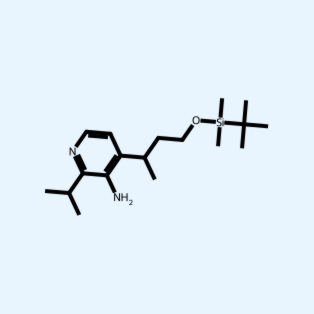 CC(C)c1nccc(C(C)CCO[Si](C)(C)C(C)(C)C)c1N